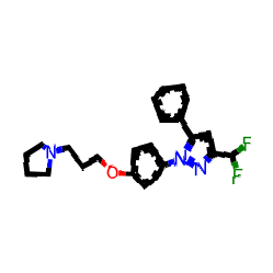 FC(F)c1cc(-c2ccccc2)n(-c2ccc(OCCCN3CCCC3)cc2)n1